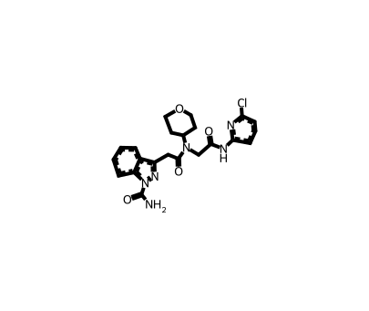 NC(=O)n1nc(CC(=O)N(CC(=O)Nc2cccc(Cl)n2)C2CCOCC2)c2ccccc21